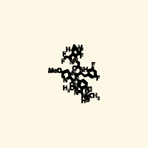 COc1cnc2c(c1)N=C([C@H](Cc1cc(F)cc(F)c1)NC(=O)Cn1nc(C(F)F)c3c1C(F)(F)[C@@H]1C[C@H]31)N(c1ccc(Cl)c3c(NS(C)(=O)=O)nn(C)c13)C2O